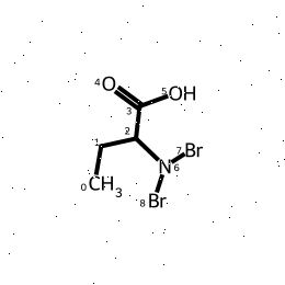 CCC(C(=O)O)N(Br)Br